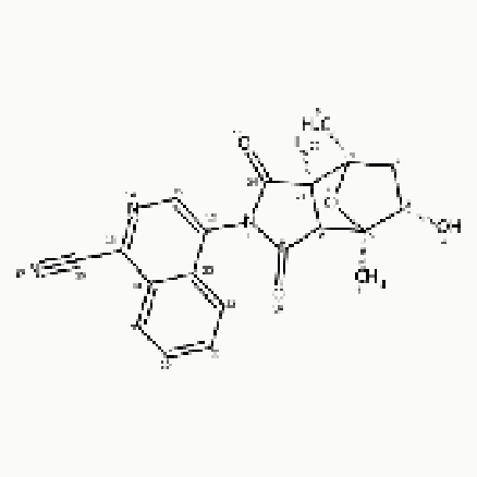 C[C@]12C[C@H](O)[C@](C)(O1)C1C(=O)N(c3cnc(C#N)c4ccccc34)C(=O)[C@H]12